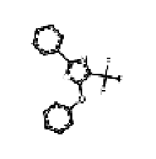 FC(F)(F)c1nc(-c2ccccc2)oc1Oc1ccccc1